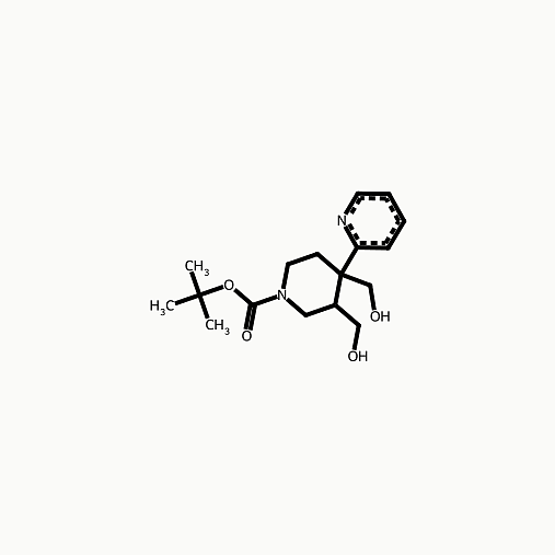 CC(C)(C)OC(=O)N1CCC(CO)(c2ccccn2)C(CO)C1